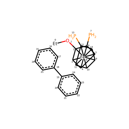 CCO[C]12[CH]3[CH]4[CH]5[C]1(P)[Fe]45321678[CH]2[CH]1[CH]6[C]7(P)[CH]28.c1ccc(-c2ccccc2)cc1